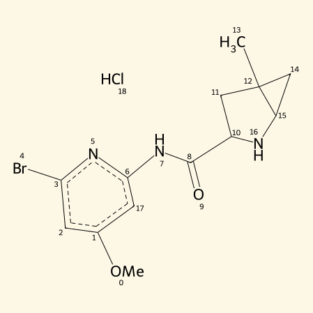 COc1cc(Br)nc(NC(=O)C2CC3(C)CC3N2)c1.Cl